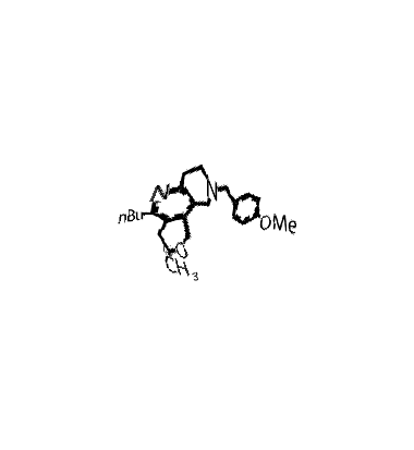 CCCCc1nc2c(c3c1C[C@H](C)OC3)CN(Cc1ccc(OC)cc1)CC2